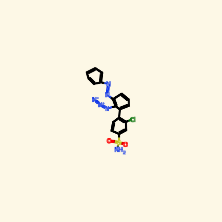 [N-]=[N+]=Nc1c(N=Nc2ccccc2)cccc1-c1ccc(S(N)(=O)=O)cc1Cl